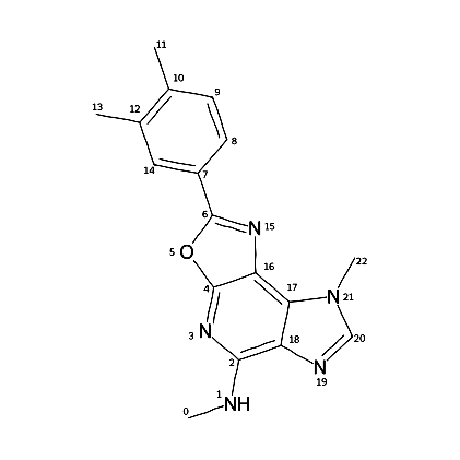 CNc1nc2oc(-c3ccc(C)c(C)c3)nc2c2c1ncn2C